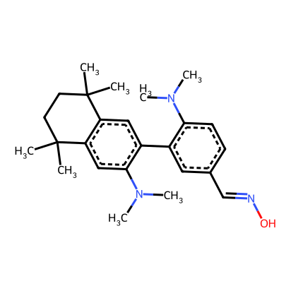 CN(C)c1ccc(/C=N/O)cc1-c1cc2c(cc1N(C)C)C(C)(C)CCC2(C)C